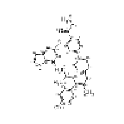 COC(=O)c1ccc(N2CCN(CC(C)=C(CC(C)C)c3ccc(Cl)cc3)CC2)cc1Oc1cnc2[nH]ccc2c1